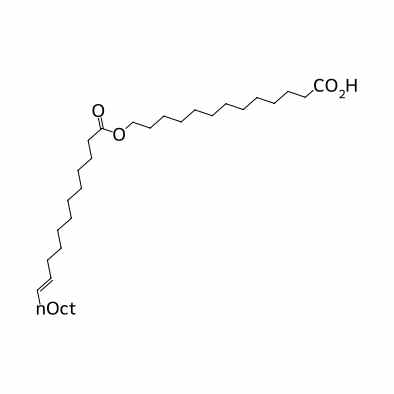 CCCCCCCCC=CCCCCCCCCCC(=O)OCCCCCCCCCCCCC(=O)O